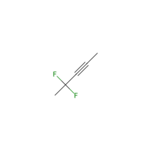 CC#CC(C)(F)F